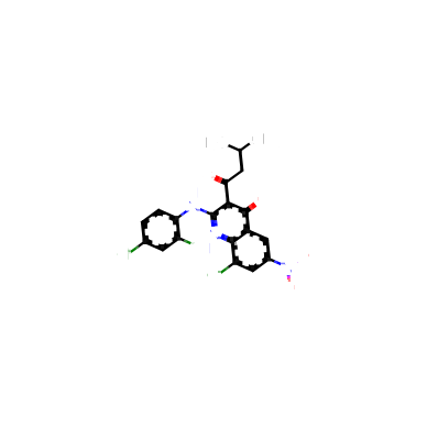 CC(C)CC(=O)c1c(Nc2ccc(Cl)cc2Cl)[nH]c2c(Cl)cc([N+](=O)[O-])cc2c1=O